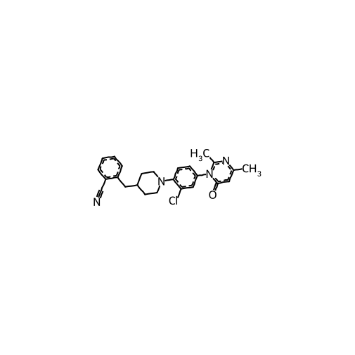 Cc1cc(=O)n(-c2ccc(N3CCC(Cc4ccccc4C#N)CC3)c(Cl)c2)c(C)n1